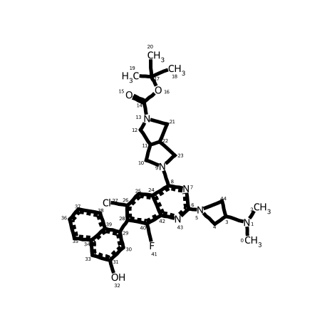 CN(C)C1CN(c2nc(N3CC4CN(C(=O)OC(C)(C)C)CC4C3)c3cc(Cl)c(-c4cc(O)cc5ccccc45)c(F)c3n2)C1